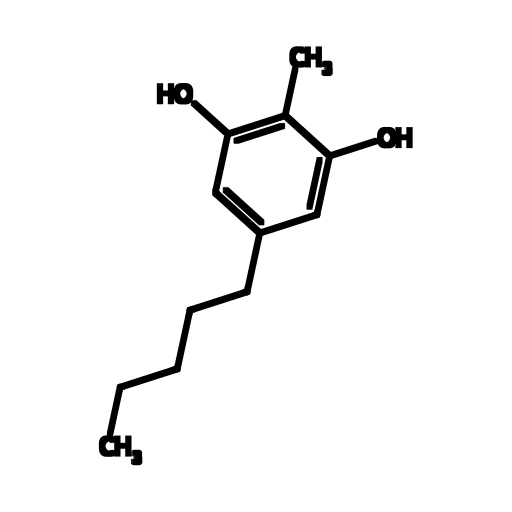 CCCCCc1cc(O)c(C)c(O)c1